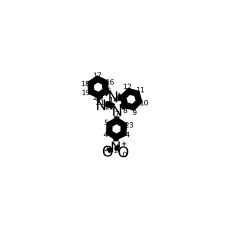 O=[N+]([O-])c1ccc(-n2c3ccccc3n3c4ccccc4nc23)cc1